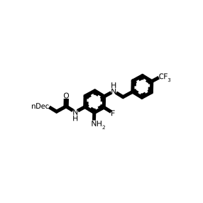 CCCCCCCCCCCC(=O)Nc1ccc(NCc2ccc(C(F)(F)F)cc2)c(F)c1N